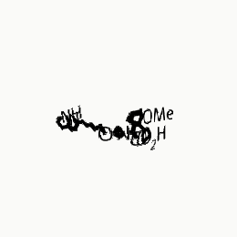 COc1cccc(C(C(=O)O)N2CC(OCCCCCc3ccc4c(n3)NCCC4)C2)c1C1CCCO1